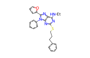 CCNc1nc(SCCCc2ccccc2)nc2c1nc(-c1ccco1)n2-c1ccccc1